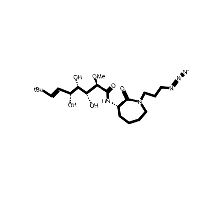 CO[C@@H](C(=O)N[C@H]1CCCCN(CCCN=[N+]=[N-])C1=O)[C@H](O)[C@@H](O)[C@H](O)/C=C/C(C)(C)C